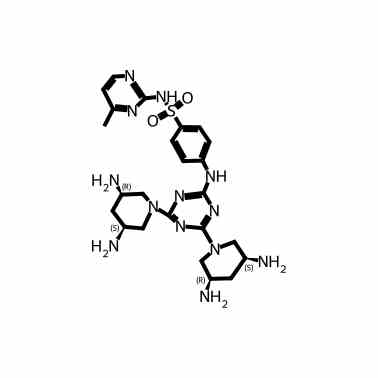 Cc1ccnc(NS(=O)(=O)c2ccc(Nc3nc(N4C[C@H](N)C[C@H](N)C4)nc(N4C[C@H](N)C[C@H](N)C4)n3)cc2)n1